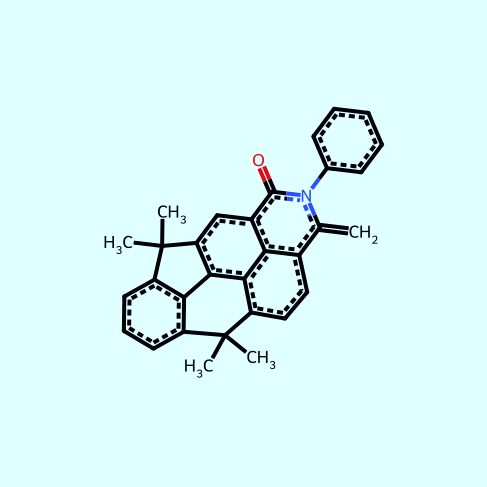 C=c1c2ccc3c4c5c(cc(c(=O)n1-c1ccccc1)c42)C(C)(C)c1cccc(c1-5)C3(C)C